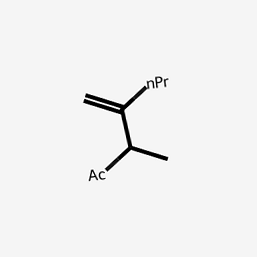 C=C(CCC)C(C)C(C)=O